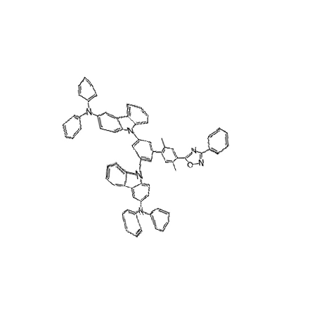 Cc1cc(-c2nc(-c3ccccc3)no2)c(C)cc1-c1cc(-n2c3ccccc3c3cc(N(c4ccccc4)c4ccccc4)ccc32)cc(-n2c3ccccc3c3cc(N(c4ccccc4)c4ccccc4)ccc32)c1